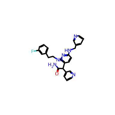 NC(=O)C(c1cccnc1)c1ccc(NCc2cccnc2)nc1NCCc1cccc(F)c1